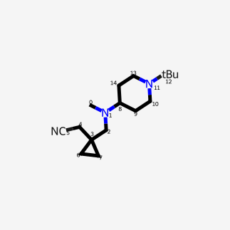 CN(CC1(CC#N)CC1)C1CCN(C(C)(C)C)CC1